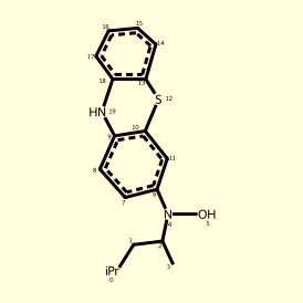 CC(C)CC(C)N(O)c1ccc2c(c1)Sc1ccccc1N2